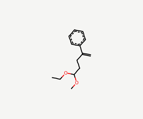 C=C(CCC(OC)OCC)c1ccccc1